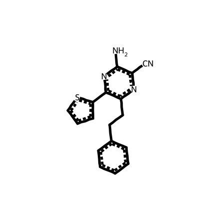 N#Cc1nc(CCc2ccccc2)c(-c2cccs2)nc1N